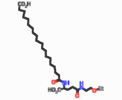 CCOCCNC(=O)CC[C@H](NC(=O)CCCCCCCCCCCCCCCCCCC(=O)O)C(=O)O